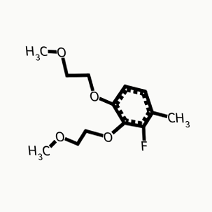 COCCOc1ccc(C)c(F)c1OCCOC